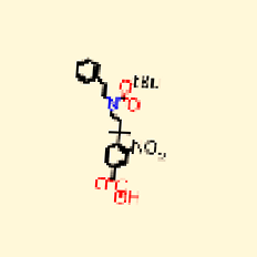 CC(C)(C)OC(=O)N(CCc1ccccc1)CCC(C)(C)c1ccc(C(=O)OO)cc1[N+](=O)[O-]